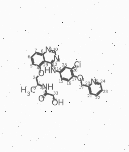 C[C@H](COc1cccc2ncnc(Nc3ccc(OCc4ccccn4)c(Cl)c3)c12)NC(=O)CO